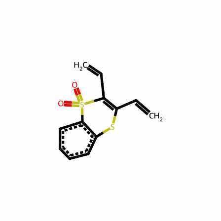 C=CC1=C(C=C)S(=O)(=O)c2ccccc2S1